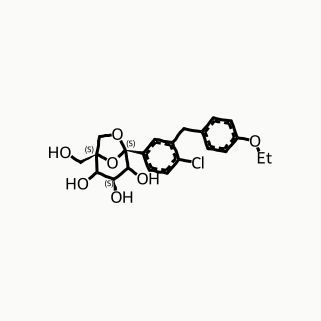 CCOc1ccc(Cc2cc([C@]34OC[C@](CO)(O3)C(O)[C@H](O)C4O)ccc2Cl)cc1